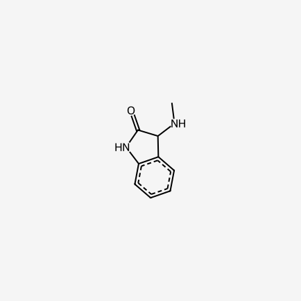 CNC1C(=O)Nc2ccccc21